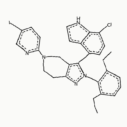 CCc1cccc(CC)c1-n1nc2c(c1-c1ccc(Cl)c3[nH]ccc13)CN(c1ccc(I)cn1)CC2